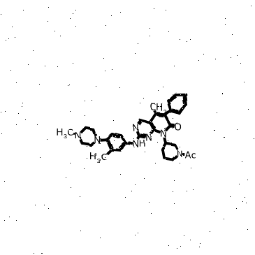 CC(=O)N1CCCC(n2c(=O)c(-c3ccccc3)c(C)c3cnc(Nc4ccc(N5CCN(C)CC5)c(C)c4)nc32)C1